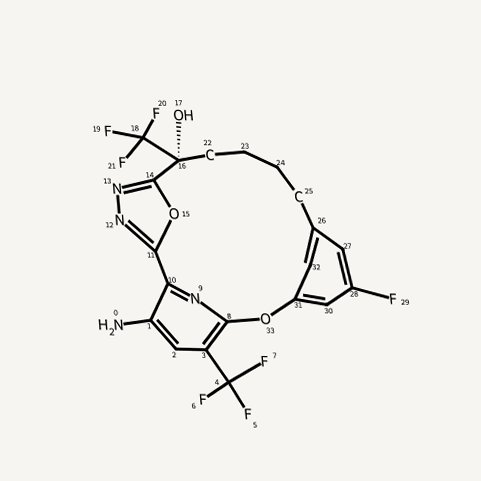 Nc1cc(C(F)(F)F)c2nc1-c1nnc(o1)[C@@](O)(C(F)(F)F)CCCCc1cc(F)cc(c1)O2